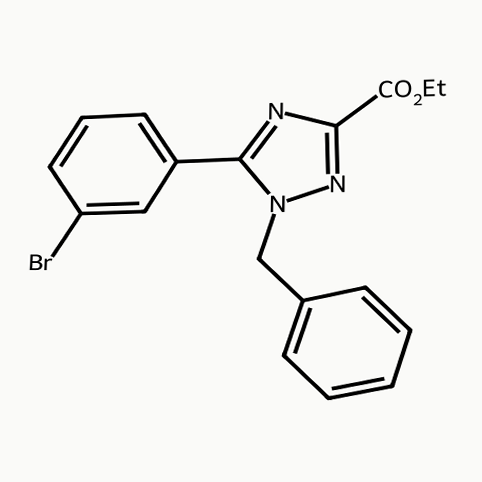 CCOC(=O)c1nc(-c2cccc(Br)c2)n(Cc2ccccc2)n1